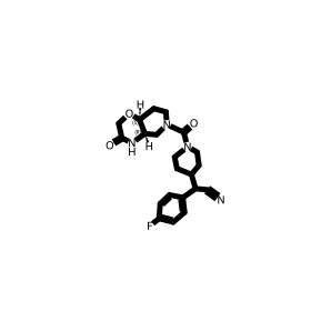 N#CC(c1ccc(F)cc1)C1CCN(C(=O)N2CC[C@@H]3OCC(=O)N[C@@H]3C2)CC1